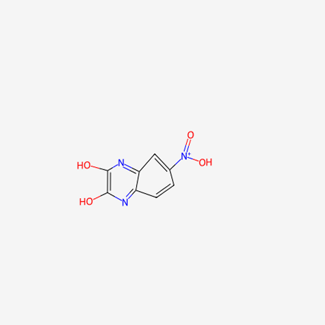 O=[N+](O)c1ccc2nc(O)c(O)nc2c1